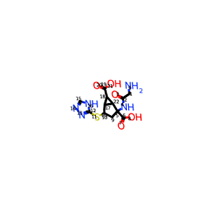 NCC(=O)NC1(C(=O)O)C[C@@H](Sc2nnc[nH]2)C2C(C(=O)O)C21